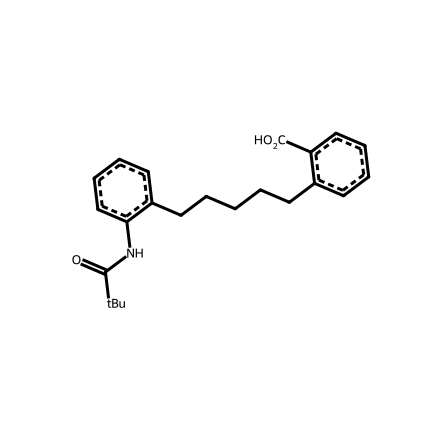 CC(C)(C)C(=O)Nc1ccccc1CCCCCc1ccccc1C(=O)O